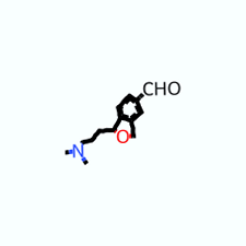 CN(C)CCCC1OCc2cc(C=O)ccc21